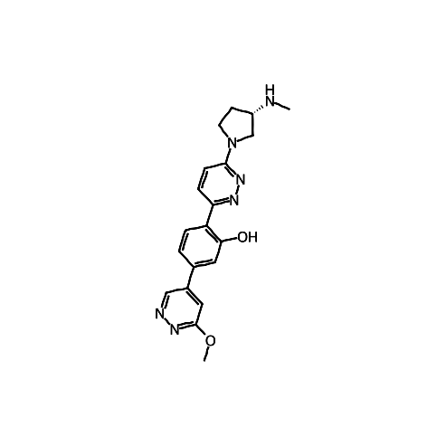 CN[C@H]1CCN(c2ccc(-c3ccc(-c4cnnc(OC)c4)cc3O)nn2)C1